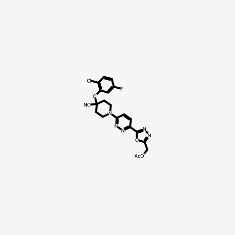 CC(=O)OCc1nnc(-c2ccc(N3CCC(C#N)(Oc4cc(F)ccc4Cl)CC3)nn2)o1